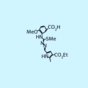 CCOC(=O)c1cc(/C=N/N=C(/Nc2cc(C(=O)O)ccc2OC)SC)[nH]c1C